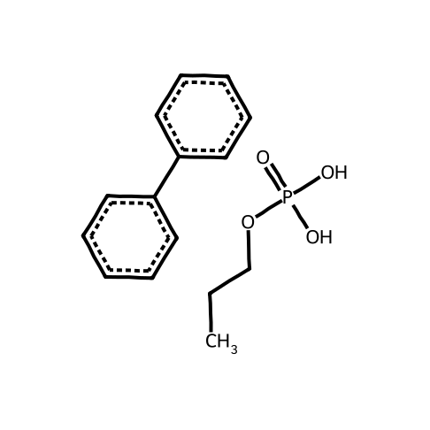 CCCOP(=O)(O)O.c1ccc(-c2ccccc2)cc1